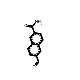 NC(=O)c1ccc2cc(C=O)ccc2c1